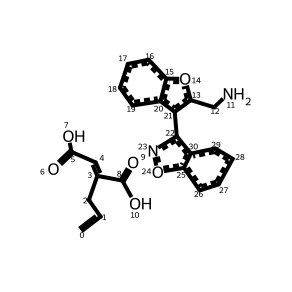 C=CC/C(=C\C(=O)O)C(=O)O.NCc1oc2ccccc2c1-c1noc2ccccc12